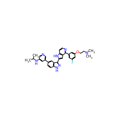 CC(C)Nc1cncc(-c2ccc3[nH]nc(-c4cc5c(-c6cc(F)cc(OCCN(C)C)c6)nccc5[nH]4)c3c2)c1